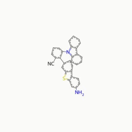 N#Cc1cccc(-n2c3ccccc3c3ccccc32)c1-c1ccc2c(c1)sc1cc(N)ccc12